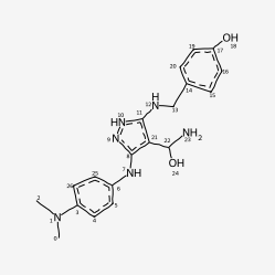 CN(C)c1ccc(Nc2n[nH]c(NCc3ccc(O)cc3)c2C(N)O)cc1